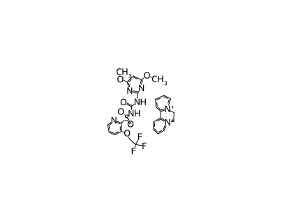 COc1cc(OC)nc(NC(=O)NS(=O)(=O)c2ncccc2OCC(F)(F)F)n1.c1cc[n+]2c(c1)-c1cccc[n+]1CC2